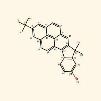 CC(C)(C)c1cc2ccc3cc4c(c5ccc(c1)c2c35)-c1ccc(Br)cc1C4(C)C